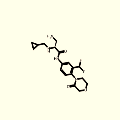 NC[C@H](NCC1CC1)C(=O)Nc1ccc(N2CCOCC2=O)c(C(F)F)c1